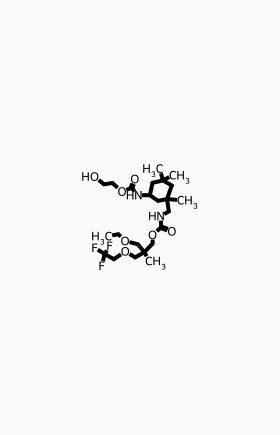 CCOCC(C)(COCC(F)(F)F)COC(=O)NCC1(C)CC(NC(=O)OCCO)CC(C)(C)C1